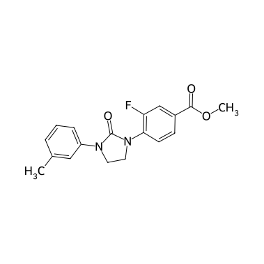 COC(=O)c1ccc(N2CCN(c3cccc(C)c3)C2=O)c(F)c1